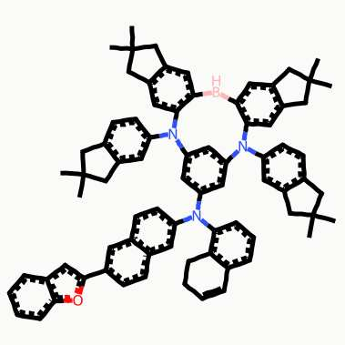 CC1(C)Cc2ccc(N3c4cc(cc(N(c5ccc6cc(-c7cc8ccccc8o7)ccc6c5)c5cccc6c5CCC=C6)c4)N(c4ccc5c(c4)CC(C)(C)C5)c4cc5c(cc4Bc4cc6c(cc43)CC(C)(C)C6)CC(C)(C)C5)cc2C1